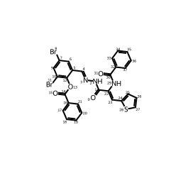 O=C(N/N=C/c1cc(Br)cc(Br)c1OC(=O)c1ccccc1)/C(=C/c1cccs1)NC(=O)c1ccccc1